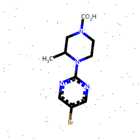 CC1CN(C(=O)O)CCN1c1ncc(Br)cn1